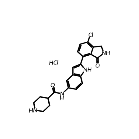 Cl.O=C1NCc2c(Cl)ccc(-c3cc4cc(NC(=O)C5CCNCC5)ccc4[nH]3)c21